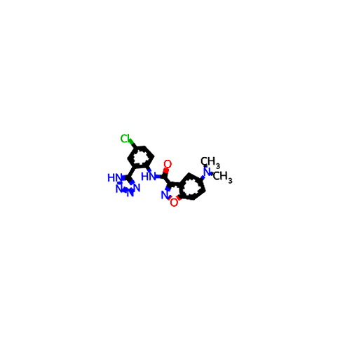 CN(C)c1ccc2onc(C(=O)Nc3ccc(Cl)cc3-c3nnn[nH]3)c2c1